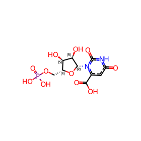 O=C(O)c1cc(=O)[nH]c(=O)n1[C@@H]1O[C@H](COP(=O)(O)O)[C@@H](O)[C@H]1O